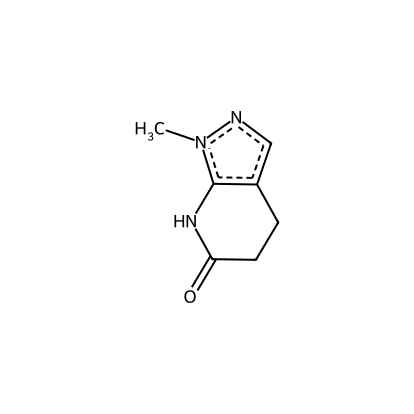 Cn1ncc2c1NC(=O)CC2